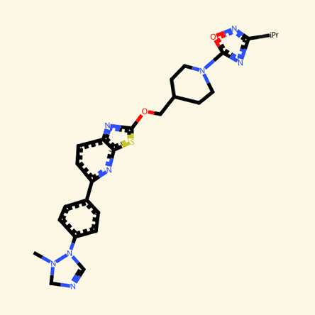 CC(C)c1noc(N2CCC(COc3nc4ccc(-c5ccc(N6C=NCN6C)cc5)nc4s3)CC2)n1